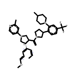 C=C(C1CN(c2ccnc(C)c2)C[C@H]1C(/C=C\C)=C/C=C/OC)N1CCC(c2ccc(C(F)(F)F)cc2N2CCC(C)CC2)C1